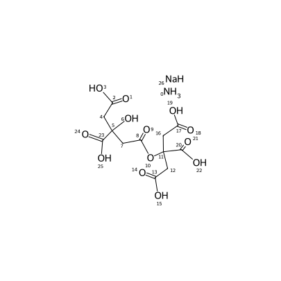 N.O=C(O)CC(O)(CC(=O)OC(CC(=O)O)(CC(=O)O)C(=O)O)C(=O)O.[NaH]